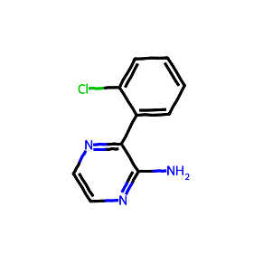 Nc1nccnc1-c1ccccc1Cl